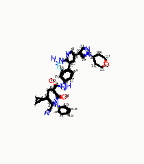 N#Cc1c(C2CC2)cc(C(=O)Nc2ccc(-c3cc(-c4cnn(C5CCOCC5)c4)cnc3N)c(F)c2)c(=O)n1-c1ccccc1